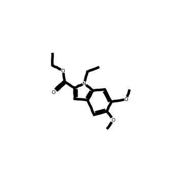 CCOC(=O)c1cc2cc(OC)c(OC)cc2n1CC